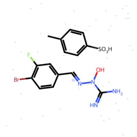 Cc1ccc(S(=O)(=O)O)cc1.N=C(N)N(O)/N=C/c1ccc(Br)c(F)c1